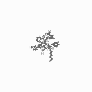 CCCC/C=C/C(=O)N[C@@H](Cc1cc(F)cc(F)c1)C(=O)N[C@@H](CO)C(=O)N1C[C@H](OP(=O)(O)O)C[C@H]1C(=O)N1CCCC[C@H]1C(=O)N[C@@H](C)C(=O)N1C[C@H](C)CC1C(C)=O